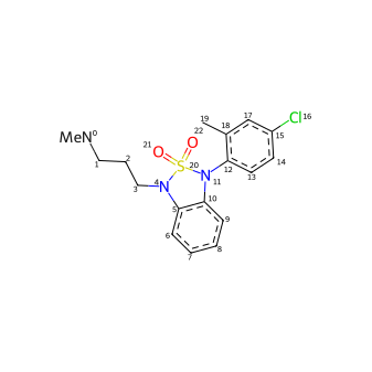 CNCCCN1c2ccccc2N(c2ccc(Cl)cc2C)S1(=O)=O